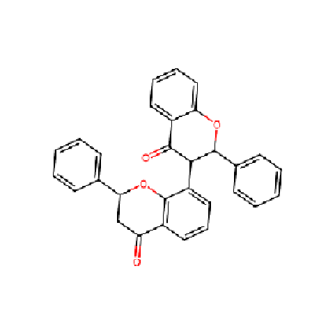 O=C1CC(c2ccccc2)Oc2c1cccc2C1C(=O)c2ccccc2OC1c1ccccc1